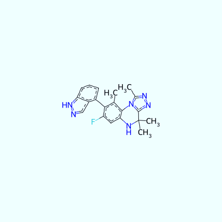 Cc1c(-c2cccc3[nH]ncc23)c(F)cc2c1-n1c(C)nnc1C(C)(C)N2